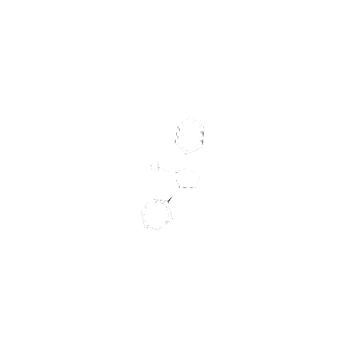 ClP1[C@H](c2ccccc2)CC[C@H]1c1ccccc1